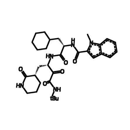 Cn1c(C(=O)N[C@@H](CC2CCCCC2)C(=O)N[C@@H](C[C@@H]2CCCNC2=O)C(=O)C(=O)NC(C)(C)C)cc2ccccc21